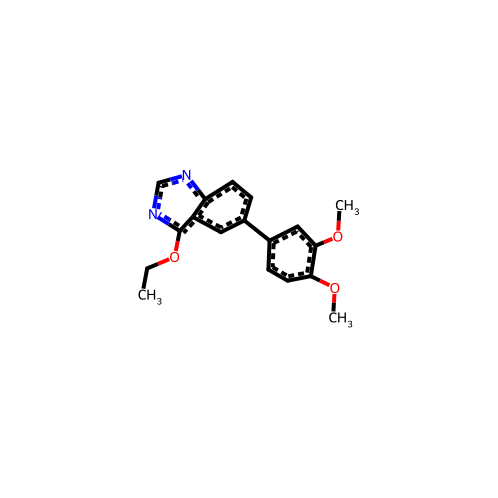 CCOc1ncnc2ccc(-c3ccc(OC)c(OC)c3)cc12